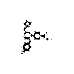 CC(C)(C)OC(=O)N1CCC(N2C[C@H](Cn3cncn3)OC[C@@H]2Cc2ccc(Cl)cc2)CC1